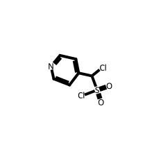 O=S(=O)(Cl)C(Cl)c1ccncc1